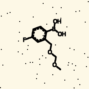 COCOCc1cc(F)ccc1B(O)O